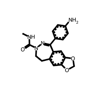 CNC(=O)N1CCc2cc3c(cc2C(c2ccc(N)cc2)=N1)OCO3